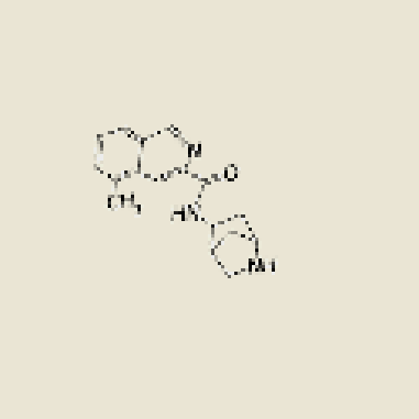 Cc1cccc2cnc(C(=O)NC3CC4CC3CN4)cc12